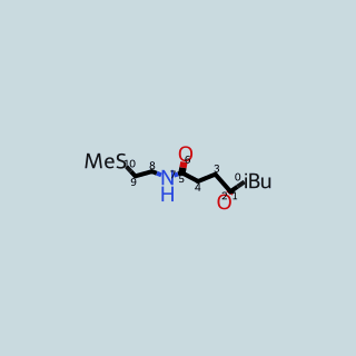 CCC(C)C(=O)CCC(=O)NCCSC